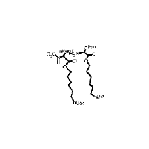 CCCCCCCCCCCCCCCCOC(=O)C(CCCCC)NC(=O)O.CCCCCCCCCCCCCCCCOC(=O)C(N)CCCCC